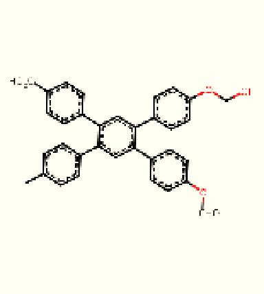 Cc1ccc(-c2cc(-c3ccc(OC=O)cc3)c(-c3ccc(OCO)cc3)cc2-c2ccc(C(=O)O)cc2)cc1